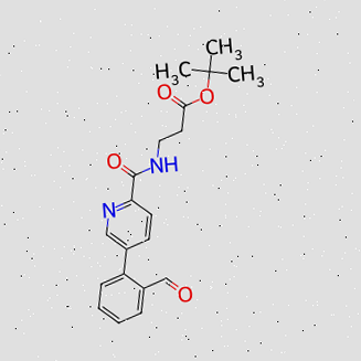 CC(C)(C)OC(=O)CCNC(=O)c1ccc(-c2ccccc2C=O)cn1